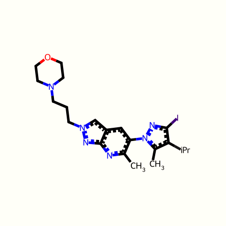 Cc1nc2nn(CCCN3CCOCC3)cc2cc1-n1nc(I)c(C(C)C)c1C